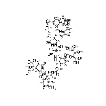 CC[C@@]1(O)C(=O)OCc2c1cc1n(c2=O)Cc2c-1nc1cc(F)c(C)c3c1c2C(NC(=O)OCc1ccc(OC2OC(C(=O)O)C(O)C(O)C2O)c(CNC(=O)C(CNC(=O)CCOCCOC)NC(=O)CCCCC(=O)N2Cc4ccccc4-c4c(nnn4C)-c4ccccc42)c1)CC3